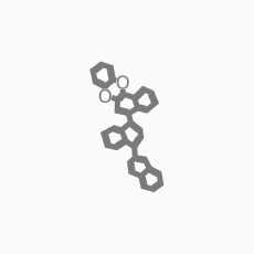 c1ccc2c(c1)Oc1cc(-c3ccc(-c4ccc5ccccc5c4)c4ccccc34)c3ccccc3c1O2